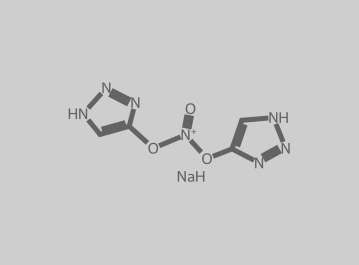 O=[N+](Oc1c[nH]nn1)Oc1c[nH]nn1.[NaH]